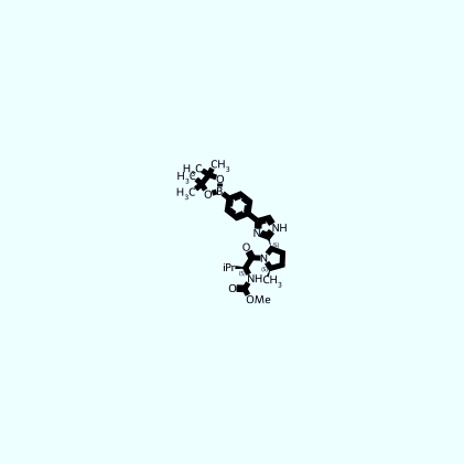 COC(=O)N[C@H](C(=O)N1[C@@H](C)CC[C@H]1c1nc(-c2ccc(B3OC(C)(C)C(C)(C)O3)cc2)c[nH]1)C(C)C